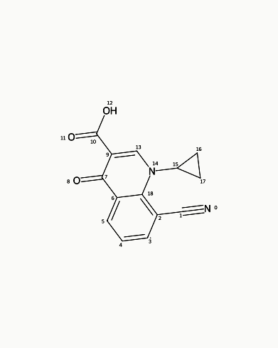 N#Cc1[c]ccc2c(=O)c(C(=O)O)cn(C3CC3)c12